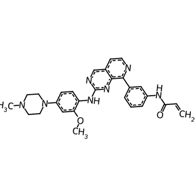 C=CC(=O)Nc1cccc(-c2nccc3cnc(Nc4ccc(N5CCN(C)CC5)cc4OC)nc23)c1